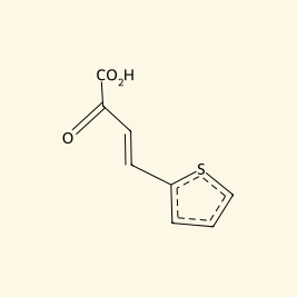 O=C(O)C(=O)C=Cc1cccs1